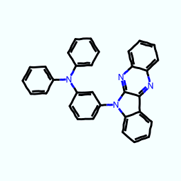 c1ccc(N(c2ccccc2)c2cccc(-n3c4ccccc4c4nc5ccccc5nc43)c2)cc1